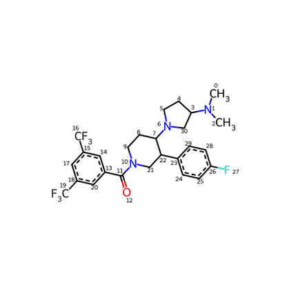 CN(C)C1CCN(C2CCN(C(=O)c3cc(C(F)(F)F)cc(C(F)(F)F)c3)CC2c2ccc(F)cc2)C1